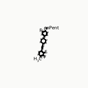 CCCCCOc1ccc(C2CCC(C#Cc3ccc(C)c(F)c3F)CC2)cc1F